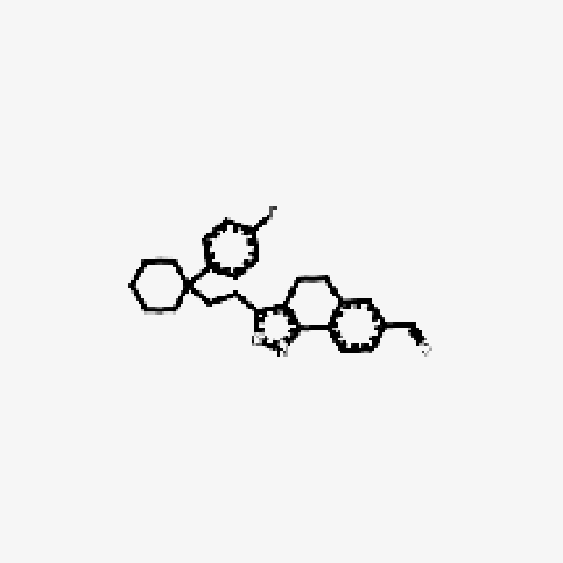 O=Cc1ccc2c(c1)CCc1c-2noc1CCC1(c2ccc(F)cc2)CCCCC1